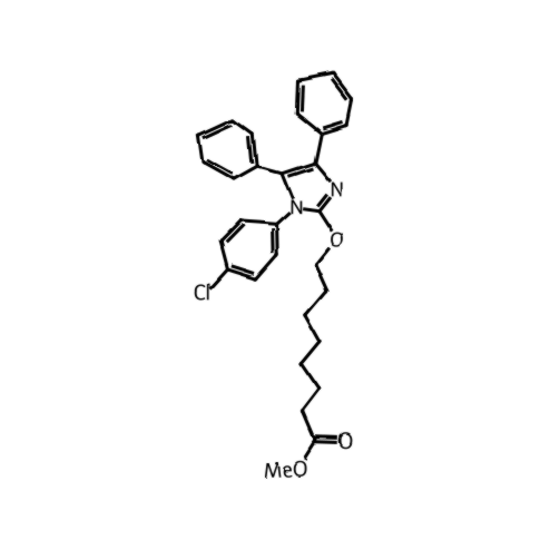 COC(=O)CCCCCCCOc1nc(-c2ccccc2)c(-c2ccccc2)n1-c1ccc(Cl)cc1